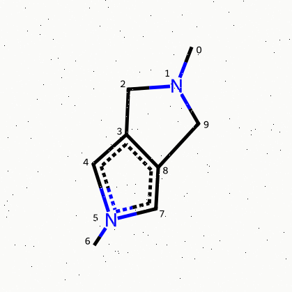 CN1Cc2cn(C)cc2C1